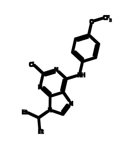 CCC(CC)n1cnc2c(Nc3ccc(OC(F)(F)F)cc3)nc(Cl)nc21